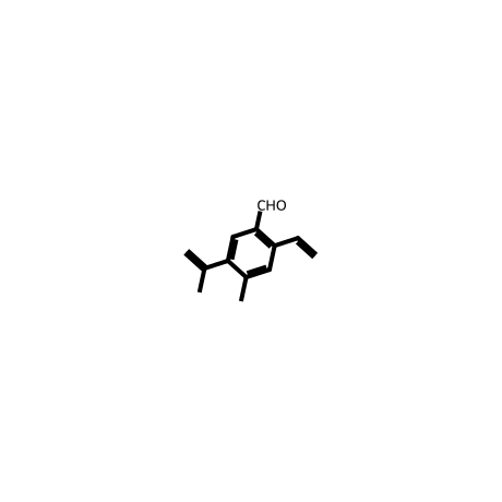 C=Cc1cc(C)c(C(=C)C)cc1C=O